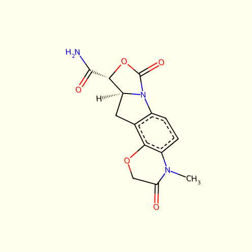 CN1C(=O)COc2c1ccc1c2C[C@H]2[C@H](C(N)=O)OC(=O)N12